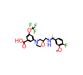 COc1cc([C@@H](C)NCC2CN(c3cc(OC(F)(F)F)cc(C(=O)O)c3)CCO2)ccc1F